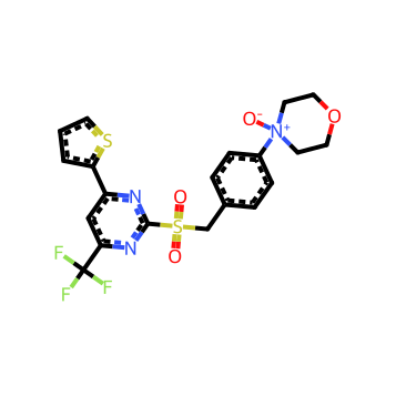 O=S(=O)(Cc1ccc([N+]2([O-])CCOCC2)cc1)c1nc(-c2cccs2)cc(C(F)(F)F)n1